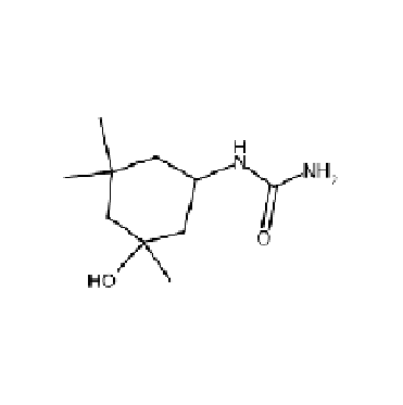 CC1(C)CC(NC(N)=O)CC(C)(O)C1